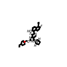 C#Cc1c(F)ccc2c(-c3ncc4c(N5C[C@H]6CC[C@@H](C5)N6)nc(OCC56CCC(C=C)(CC5)CC6)nc4c3F)c(O)ccc12